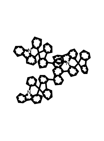 c1ccc2c(c1)-c1c(-c3cccc4c(-c5cccc6c5-n5c7ccccc7c7cccc(c75)C65c6ccccc6-c6ccccc65)c5cccc(-c6cccc7c6-c6ccccc6C76c7ccccc7-n7c8ccccc8c8cccc6c87)c5cc34)cccc1C21c2ccccc2-n2c3ccccc3c3cccc1c32